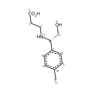 O=C(O)CCN[C@H](CO)c1ccc(F)cc1